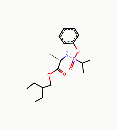 CCC(CC)COC(=O)[C@H](C)N[P@](=O)(Oc1ccccc1)C(C)C